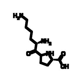 NCCCC[C@H](N)C(=O)C1CC[C@@H](C(=O)O)N1